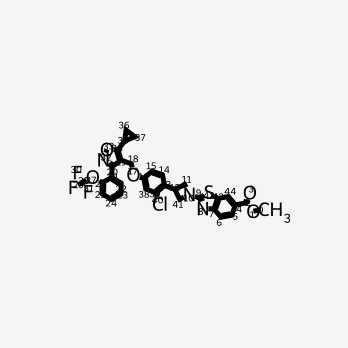 COC(=O)c1ccc2nc(N3CC(c4ccc(OCc5c(-c6ccccc6OC(F)(F)F)noc5C5CC5)cc4Cl)C3)sc2c1